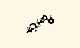 Cc1cc2n(n1)CC[C@H](NC(=O)c1nc3n(n1)[C@H](c1ccccc1F)CC3)C(=O)N2C